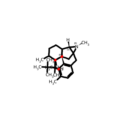 Cc1ccc2c(c1C)[C@]13CC4(C2)[C@@H]([N@]4C)C12CCC(C)(C(C(C)(O)C(C)(C)C)C2)C3C